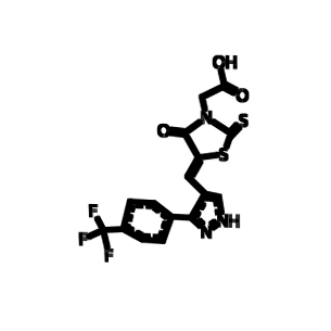 O=C(O)CN1C(=O)C(=Cc2c[nH]nc2-c2ccc(C(F)(F)F)cc2)SC1=S